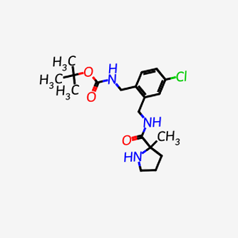 CC(C)(C)OC(=O)NCc1ccc(Cl)cc1CNC(=O)C1(C)CCCN1